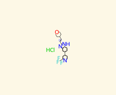 Cl.FC(F)(F)c1cc(-c2ccc3[nH]c(/C=C/C4CCOCC4)nc3c2)ccn1